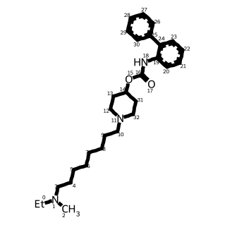 CCN(C)CCCCCCCCN1CCC(OC(=O)Nc2ccccc2-c2ccccc2)CC1